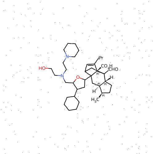 CC(C)C1=CC2CC3(C=O)[C@@H]4CC[C@@H](C)[C@H]4CC2(C2CC(C4CCCCC4)C(CN(CCO)CCN4CCCCC4)O2)[C@]13C(=O)O